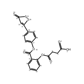 O=C(O)CCC(=O)Oc1ccccc1C(=O)Oc1ccc(-c2cc(=S)ss2)cc1